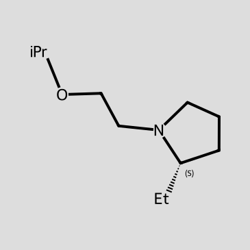 CC[C@H]1CCCN1CCOC(C)C